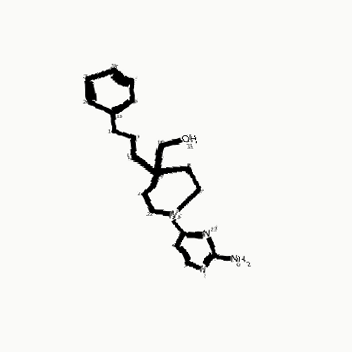 Nc1nccc(N2CCC(CO)(CCCc3ccccc3)CC2)n1